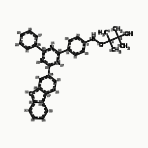 CC(C)(O)C(C)(C)OBc1ccc(-c2nc(-c3ccccc3)nc(-c3ccc4c(c3)oc3ccccc34)n2)cc1